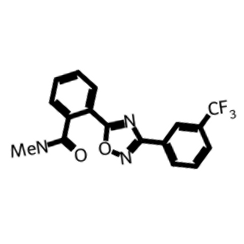 CNC(=O)c1ccccc1-c1nc(-c2cccc(C(F)(F)F)c2)no1